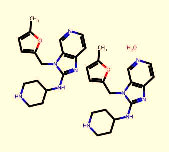 Cc1ccc(Cn2c(NC3CCNCC3)nc3ccncc32)o1.Cc1ccc(Cn2c(NC3CCNCC3)nc3ccncc32)o1.O